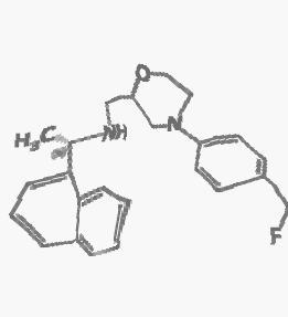 C[C@H](NCC1CN(c2ccc(CF)cc2)CCO1)c1cccc2ccccc12